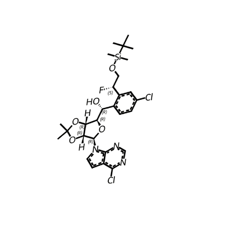 CC1(C)O[C@H]2[C@@H](O1)[C@H](n1ccc3c(Cl)ncnc31)O[C@@H]2[C@H](O)c1ccc(Cl)cc1[C@H](F)CO[Si](C)(C)C(C)(C)C